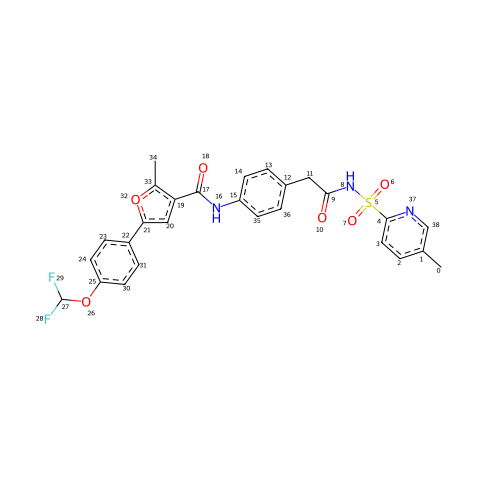 Cc1ccc(S(=O)(=O)NC(=O)Cc2ccc(NC(=O)c3cc(-c4ccc(OC(F)F)cc4)oc3C)cc2)nc1